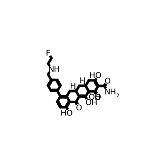 NC(=O)C1=C(O)C[C@@H]2C[C@@H]3Cc4c(-c5ccc(CNCCF)cc5)ccc(O)c4C(=O)C3=C(O)[C@]2(O)C1=O